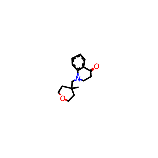 CC1(CN2CCC(=O)c3ccccc32)CCOCC1